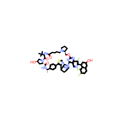 Cc1ncsc1-c1ccc([C@H](C)NC(=O)[C@@H]2C[C@@H](O)CN2C(=O)[C@@H](NC(=O)CCCCN2CCC[C@H]2COc2nc(N3CC4CCC(C3)N4)c3cnc(-c4cc(O)cc5ccc(F)c(F)c45)c(F)c3n2)C(C)(C)C)cc1